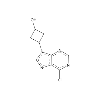 OC1CC(n2cnc3c(Cl)ncnc32)C1